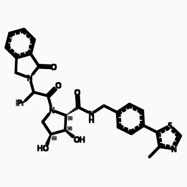 Cc1ncsc1-c1ccc(CNC(=O)[C@@H]2[C@@H](O)[C@@H](O)CN2C(=O)C(C(C)C)N2Cc3ccccc3C2=O)cc1